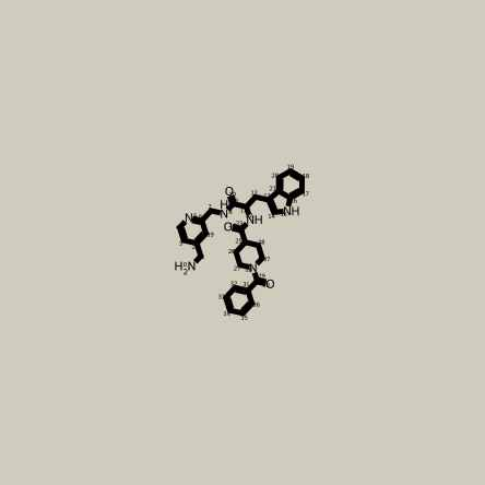 NCc1ccnc(CNC(=O)C(Cc2c[nH]c3ccccc23)NC(=O)C2CCN(C(=O)c3ccccc3)CC2)c1